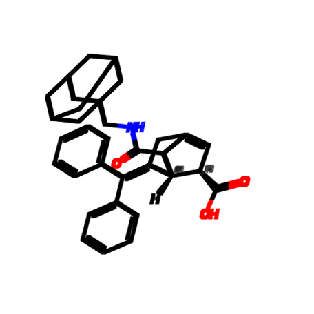 O=C(NCC12CC3CC(CC(C3)C1)C2)C1C2=C[C@@H](C(=O)O)[C@@H]1C(=C(c1ccccc1)c1ccccc1)C2